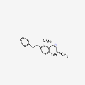 C=C/C=C\c1c(CCC)ccc(CCc2ccccc2)c1NC